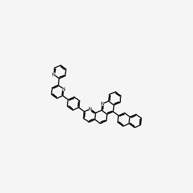 c1ccc(-c2cccc(-c3ccc(-c4ccc5ccc6c(-c7ccc8ccccc8c7)c7ccccc7nc6c5n4)cc3)n2)nc1